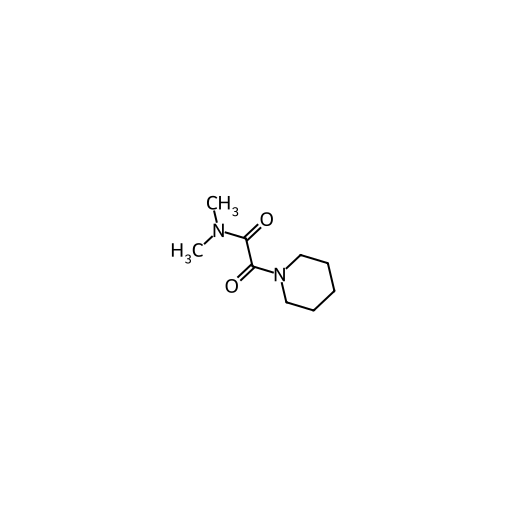 CN(C)C(=O)C(=O)N1CCCCC1